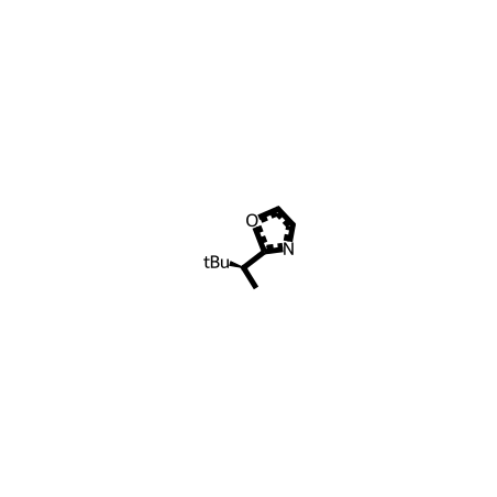 C[C@H](c1ncco1)C(C)(C)C